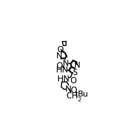 C=C(OC(C)(C)C)N1CCC[C@@H](NC(=O)c2sc3nccc4c3c2NC(=O)N4c2ccc(OC3CCC3)nc2)C1